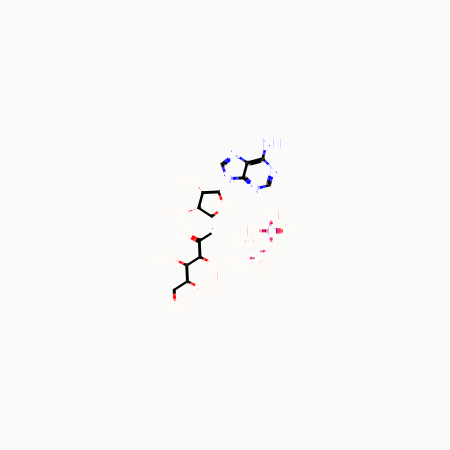 Nc1ncnc2c1ncn2[C@@H]1O[C@H](CC(=O)C(O)C(O)C(O)CO)[C@@H](O)[C@H]1O.O=P(O)(O)OP(=O)(O)O